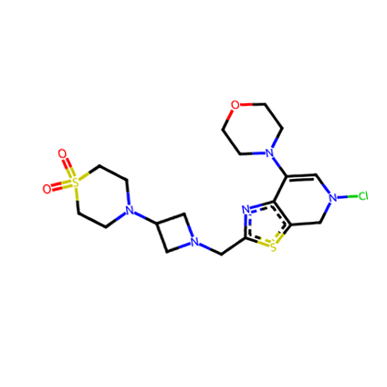 O=S1(=O)CCN(C2CN(Cc3nc4c(s3)CN(Cl)C=C4N3CCOCC3)C2)CC1